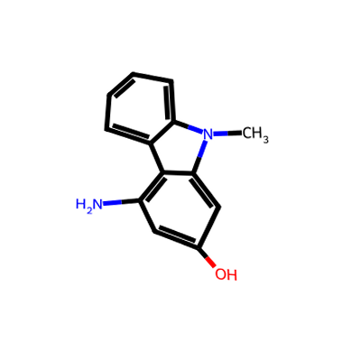 Cn1c2ccccc2c2c(N)cc(O)cc21